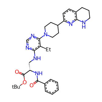 CCc1c(NC[C@H](NC(=O)c2ccccc2)C(=O)OC(C)(C)C)ncnc1N1CCC(c2ccc3c(n2)NCCC3)CC1